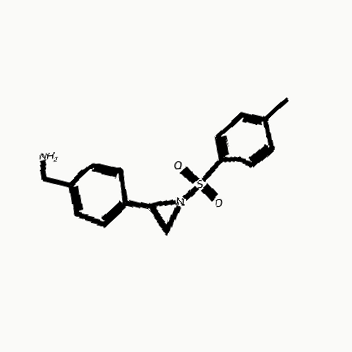 Cc1ccc(S(=O)(=O)N2CC2c2ccc(CN)cc2)cc1